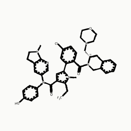 CN1CCc2cc(N(C(=O)c3cc(-c4cc(Cl)ccc4C(=O)N4Cc5ccccc5C[C@H]4CN4CCOCC4)n(C)c3CC(F)(F)F)c3ccc(O)cc3)cnc21